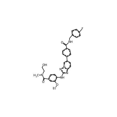 CCOc1cc(C(=O)N(C)CCO)ccc1Nc1nc2ccc(-c3ccc(C(=O)NCc4ccc(F)cc4)cc3)cn2n1